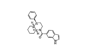 O=C(c1ccc2cc[nH]c2c1)N1CC[C@H](c2ccccc2)[C@H]2CCCC[C@H]21